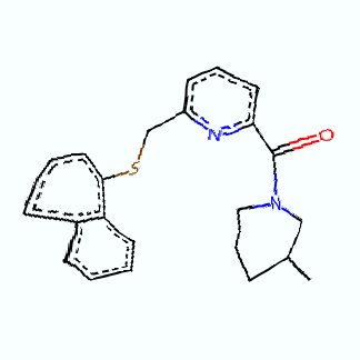 CC1CCCN(C(=O)c2cccc(CSc3cccc4ccccc34)n2)C1